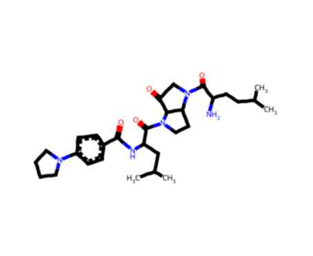 CC(C)CCC(N)C(=O)N1CC(=O)C2C1CCN2C(=O)C(CC(C)C)NC(=O)c1ccc(N2CCCC2)cc1